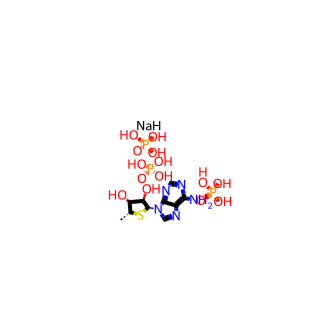 C[C@H]1S[C@@H](n2cnc3c(N)ncnc32)[C@H](O)[C@@H]1O.O=P(O)(O)O.O=P(O)(O)O.O=P(O)(O)O.[NaH]